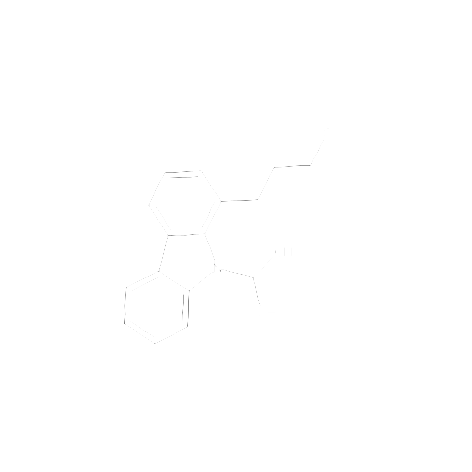 CCCCc1cccc2c3ccccc3n(C(C)C)c12